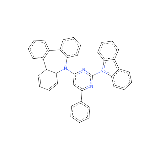 C1=CC2c3ccccc3-c3ccccc3N(c3cc(-c4ccccc4)nc(-n4c5ccccc5c5ccccc54)n3)C2C=C1